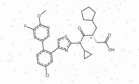 COc1ncc(-c2ccc(Cl)cc2-c2csc(N(C(=O)[C@@H](CC(=O)O)CC3CCCC3)C3CC3)n2)cc1F